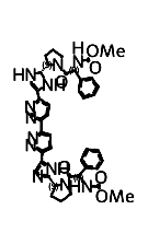 COC(=O)N[C@@H](C(=O)N1CCC[C@H]1c1ncc(-c2ccc(-c3ccc(C4=CNC([C@@H]5CCCN5C(=O)[C@H](NC(=O)OC)c5ccccc5)N4)nn3)nn2)[nH]1)c1ccccc1